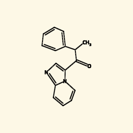 CC(C(=O)c1cnc2ccccn12)c1ccccc1